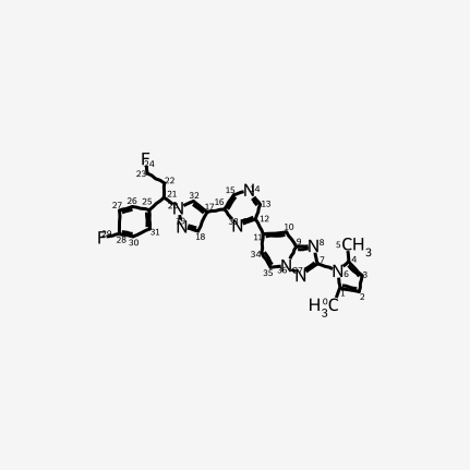 Cc1ccc(C)n1-c1nc2cc(-c3cncc(-c4cnn(C(CCF)c5ccc(F)cc5)c4)n3)ccn2n1